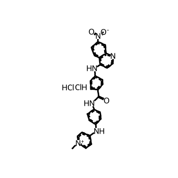 C[n+]1ccc(Nc2ccc(NC(=O)c3ccc(Nc4ccnc5cc([N+](=O)[O-])ccc45)cc3)cc2)cc1.Cl.Cl